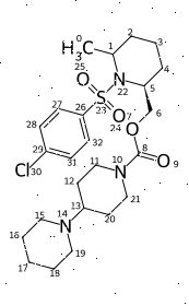 CC1CCC[C@@H](COC(=O)N2CCC(N3CCCCC3)CC2)N1S(=O)(=O)c1ccc(Cl)cc1